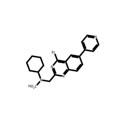 CCc1nc(CN(C(=O)O)C2CCCCC2)nc2ccc(-c3ccncc3)cc12